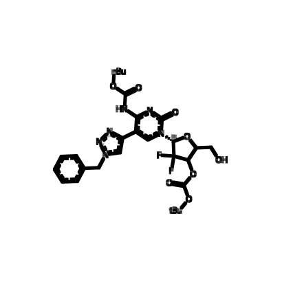 CCCCOC(=O)Nc1nc(=O)n([C@@H]2OC(CO)C(OC(=O)OC(C)(C)C)C2(F)F)cc1-c1cn(Cc2ccccc2)nn1